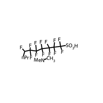 CCCC(F)C(F)(F)C(F)(F)C(F)(F)C(F)(F)C(F)(F)C(F)(F)S(=O)(=O)O.CNC